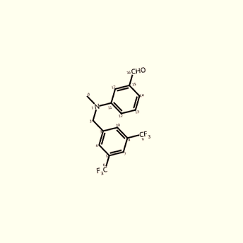 CN(Cc1cc(C(F)(F)F)cc(C(F)(F)F)c1)c1cccc(C=O)c1